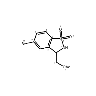 CC(=O)OCC1NS(=O)(=O)c2ccc(Br)cc21